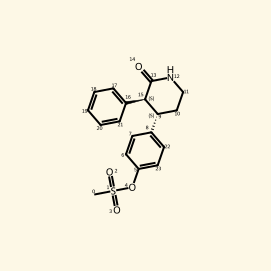 CS(=O)(=O)Oc1ccc([C@H]2CCNC(=O)[C@@H]2c2ccccc2)cc1